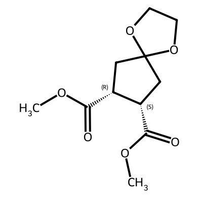 COC(=O)[C@H]1CC2(C[C@H]1C(=O)OC)OCCO2